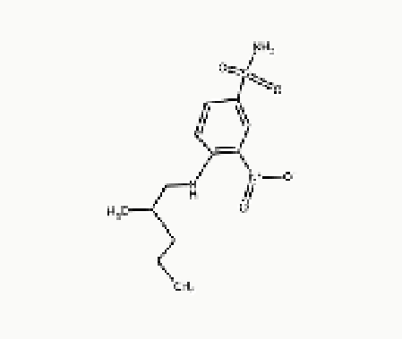 CCCC(C)CNc1ccc(S(N)(=O)=O)cc1[N+](=O)[O-]